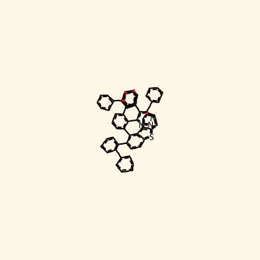 c1ccc(-c2ccccc2-c2cccc(-c3c(-c4ccccc4-c4ccccc4)ccc4sc5ccccc5c34)c2-c2nnnc(-c3ccccc3)c2-c2ccccc2)cc1